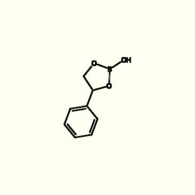 OB1OCC(c2ccccc2)O1